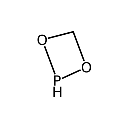 C1OPO1